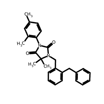 Cc1ccc(N2C(=O)N(Cc3ccccc3Cc3ccccc3)C(C)(C)C2=O)c(C)c1